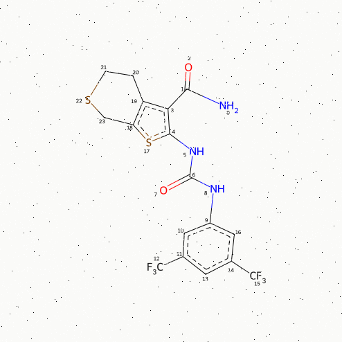 NC(=O)c1c(NC(=O)Nc2cc(C(F)(F)F)cc(C(F)(F)F)c2)sc2c1CCSC2